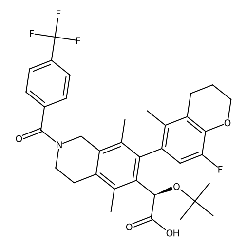 Cc1c(-c2c(C)c3c(c(C)c2[C@@H](OC(C)(C)C)C(=O)O)CCN(C(=O)c2ccc(C(F)(F)F)cc2)C3)cc(F)c2c1CCCO2